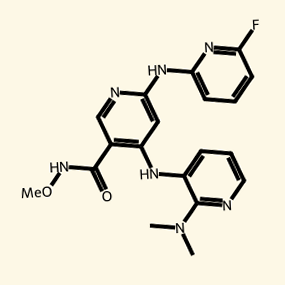 CONC(=O)c1cnc(Nc2cccc(F)n2)cc1Nc1cccnc1N(C)C